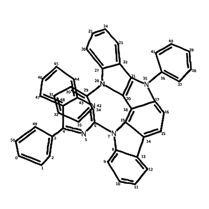 c1ccc(-c2nc(-n3c4ccccc4c4ccc5c(c43)c3c(c4ccccc4n3-c3ccccc3)n5-c3ccccc3)nc3ccccc23)cc1